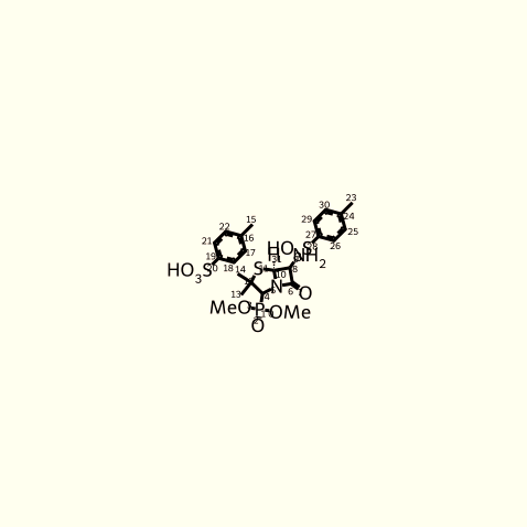 COP(=O)(OC)C1N2C(=O)C(N)[C@@H]2SC1(C)C.Cc1ccc(S(=O)(=O)O)cc1.Cc1ccc(S(=O)(=O)O)cc1